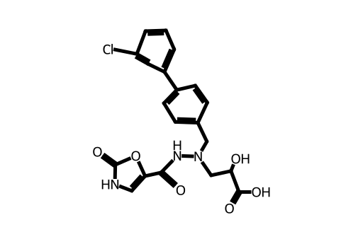 O=C(NN(Cc1ccc(-c2cccc(Cl)c2)cc1)CC(O)C(=O)O)c1c[nH]c(=O)o1